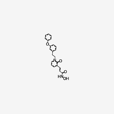 O=C(/C=C/c1cccn(CCc2cccc(Oc3ccccc3)c2)c1=O)NO